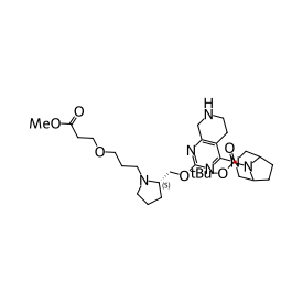 COC(=O)CCOCCCN1CCC[C@H]1COc1nc2c(c(N3CC4CCC(C3)N4C(=O)OC(C)(C)C)n1)CCNC2